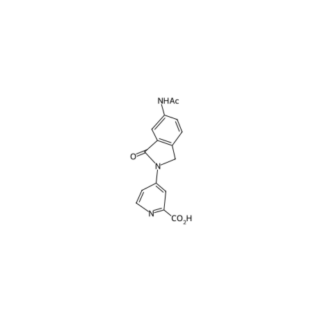 CC(=O)Nc1ccc2c(c1)C(=O)N(c1ccnc(C(=O)O)c1)C2